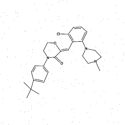 CN1CCN(c2cccc(Cl)c2C=C2OCCN(c3ccc(C(C)(C)C)cc3)C2=O)CC1